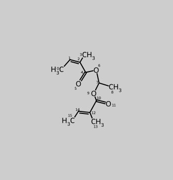 CC=C(C)C(=O)OC(C)OC(=O)C(C)=CC